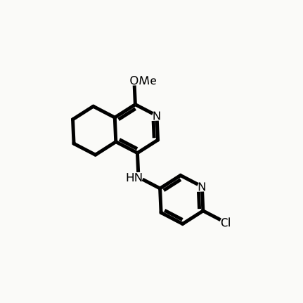 COc1ncc(Nc2ccc(Cl)nc2)c2c1CCCC2